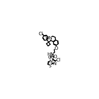 O=S(=O)(NCCOc1ccc2c(c1)C(C1(c3ccc(Cl)cc3)CCC1)NCC2)c1c(Cl)nc2sccn12